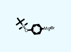 CC(C)(C)[Si](C)(C)Oc1cc[c]([Mg][Br])cc1